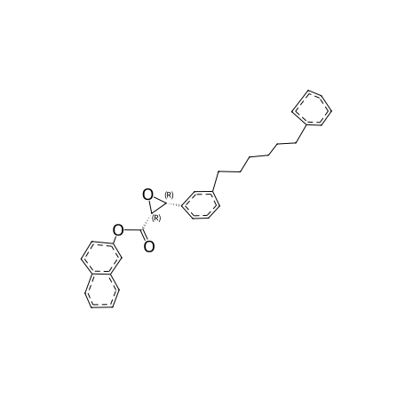 O=C(Oc1ccc2ccccc2c1)[C@@H]1O[C@@H]1c1cccc(CCCCCCc2ccccc2)c1